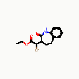 CCOC(=O)C(Br)C1CCc2ccccc2NC1=O